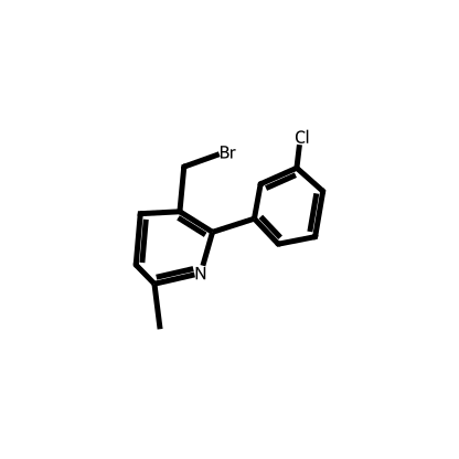 Cc1ccc(CBr)c(-c2cccc(Cl)c2)n1